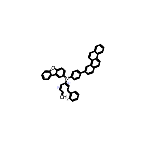 C=C/C=C\C(=C/Cc1ccccc1)N(c1ccc(-c2ccc3ccc4c5ccccc5ccc4c3c2)cc1)c1ccc2oc3ccccc3c2c1